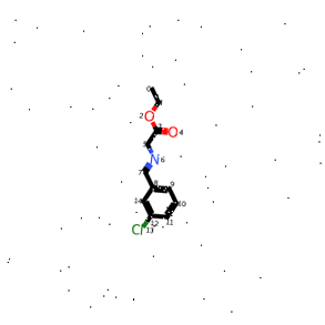 CCOC(=O)CN=Cc1cccc(Cl)c1